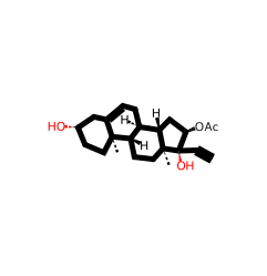 C#C[C@]1(O)[C@H](OC(C)=O)C[C@H]2[C@@H]3CC=C4C[C@@H](O)CC[C@]4(C)[C@H]3CC[C@@]21C